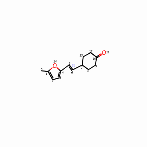 Cc1ccc(/C=C/C2CCC(=O)CC2)o1